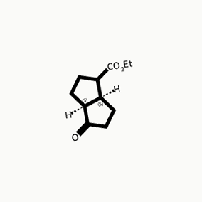 CCOC(=O)C1CC[C@@H]2C(=O)CC[C@H]12